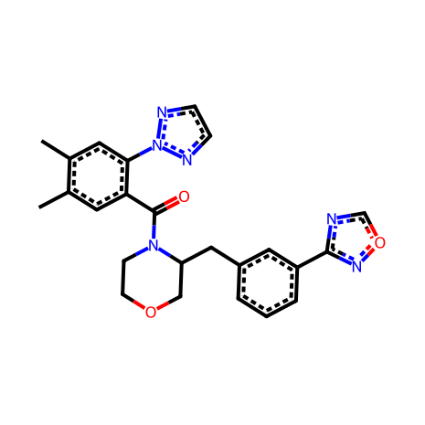 Cc1cc(C(=O)N2CCOCC2Cc2cccc(-c3ncon3)c2)c(-n2nccn2)cc1C